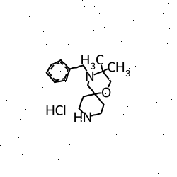 CC1(C)COC2(CCNCC2)CN1Cc1ccccc1.Cl